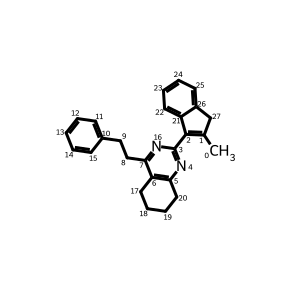 CC1=C(c2nc3c(c(CCc4ccccc4)n2)CCCC3)c2ccccc2C1